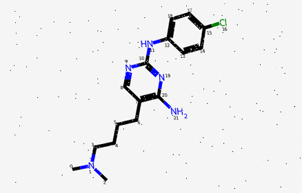 CN(C)CCCCc1cnc(Nc2ccc(Cl)cc2)nc1N